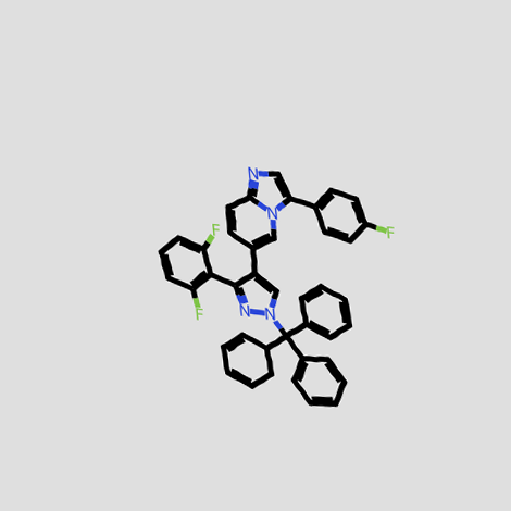 Fc1ccc(-c2cnc3ccc(-c4cn(C(c5ccccc5)(c5ccccc5)C5C=CC=CC5)nc4-c4c(F)cccc4F)cn23)cc1